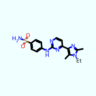 CCn1c(C)nc(-c2ccnc(Nc3ccc(S(N)(=O)=O)cc3)n2)c1C